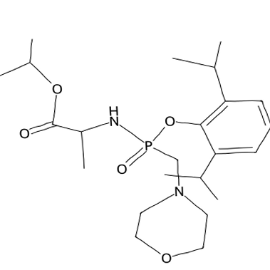 CC(C)OC(=O)C(C)NP(=O)(CN1CCOCC1)Oc1c(C(C)C)cccc1C(C)C